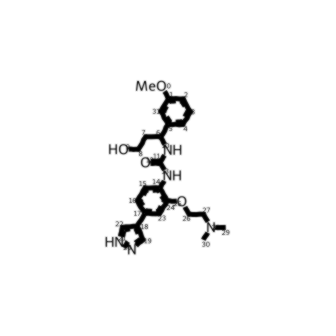 COc1cccc(C(CCO)NC(=O)Nc2ccc(-c3cn[nH]c3)cc2OCCN(C)C)c1